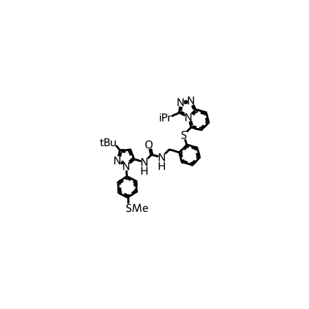 CSc1ccc(-n2nc(C(C)(C)C)cc2NC(=O)NCc2ccccc2Sc2cccc3nnc(C(C)C)n23)cc1